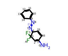 NC1=CC(F)(F)C(/N=N/c2ccccc2)C=C1